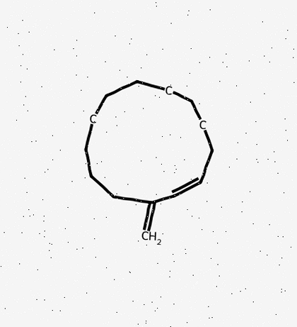 C=C1C=CCCCCCCCCCC1